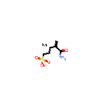 C=C(CCCS(=O)(=O)O)C(N)=O.[Na]